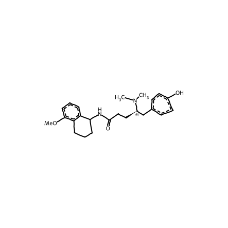 COc1cccc2c1CCCC2NC(=O)CC[C@H](Cc1ccc(O)cc1)N(C)C